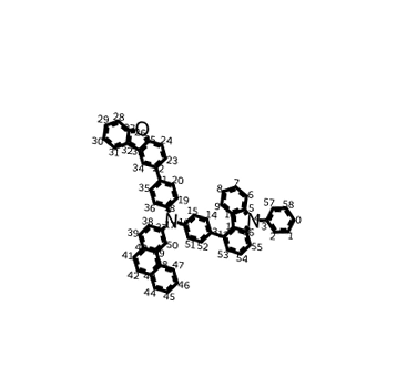 c1ccc(-n2c3ccccc3c3c(-c4ccc(N(c5ccc(-c6ccc7oc8ccccc8c7c6)cc5)c5ccc6ccc7ccccc7c6c5)cc4)cccc32)cc1